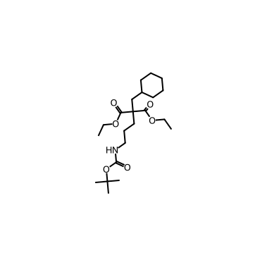 CCOC(=O)C(CCCNC(=O)OC(C)(C)C)(CC1CCCCC1)C(=O)OCC